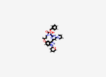 CC(CCNC(=O)OCc1ccccc1)Oc1ccc2c(c1)c(-c1cc(N3CCCC3)nc(CO)n1)nn2C1CCCCO1